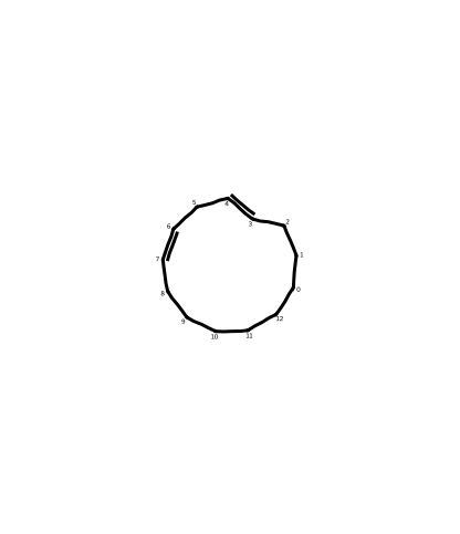 [CH]1CC/C=C/C/C=C\CCCCC1